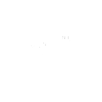 NCCC1=NC(=O)c2ccccc21